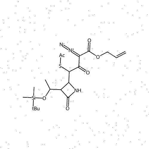 C=CCOC(=O)C(=[N+]=[N-])C(=O)C(SC(C)=O)C1NC(=O)C1C(C)O[Si](C)(C)C(C)(C)C